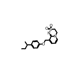 CCC(C)c1ccc(OCC2=CC=CN3CCS(=O)(=O)N=C23)cc1